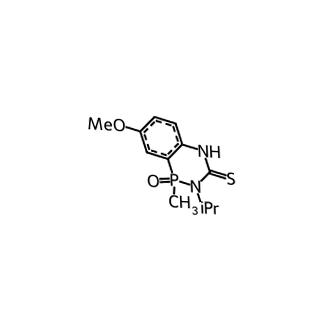 COc1ccc2c(c1)P(C)(=O)N(C(C)C)C(=S)N2